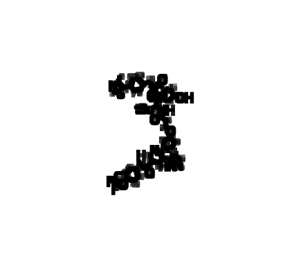 Cc1ncsc1-c1ccc(CNC(=O)[C@@H]2C[C@@H](O)CN2C(=O)C(NC(=O)CCOC2CCN(c3ncc(C(=O)Nc4ccc(OC(F)(F)Cl)cc4)cc3-c3ccn[nH]3)C2)C(C)(C)C)cc1